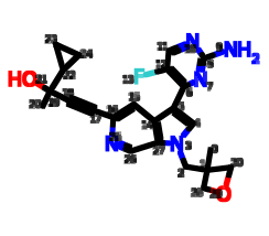 CC1(Cn2cc(-c3nc(N)ncc3F)c3cc(C#CC(C)(O)C4CC4)ncc32)COC1